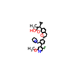 COc1cc(-c2ccc([C@H]3CCc4ccc(C(C5CC5)[C@H](C)C(=O)O)cc4O3)cc2CN2C3CCC2CC3)c(F)cn1